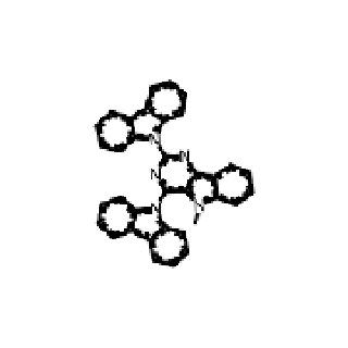 Cn1c2ccccc2c2nc(-n3c4ccccc4c4ccccc43)nc(-n3c4ccccc4c4ccccc43)c21